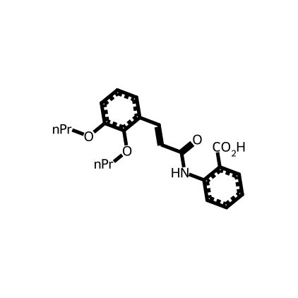 CCCOc1cccc(/C=C/C(=O)Nc2ccccc2C(=O)O)c1OCCC